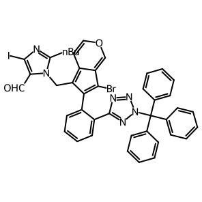 CCCCc1nc(I)c(C=O)n1Cc1c2ccocc-2c(Br)c1-c1ccccc1-c1nnn(C(c2ccccc2)(c2ccccc2)c2ccccc2)n1